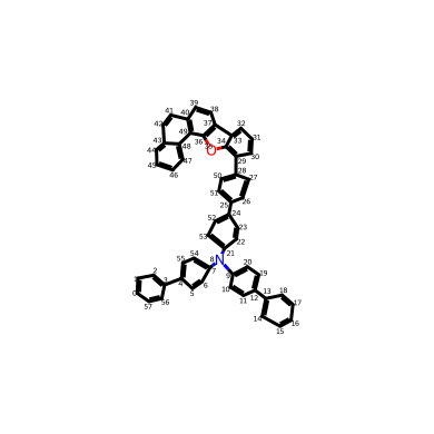 c1ccc(-c2ccc(N(c3ccc(-c4ccccc4)cc3)c3ccc(-c4ccc(-c5cccc6c5oc5c6ccc6ccc7ccccc7c65)cc4)cc3)cc2)cc1